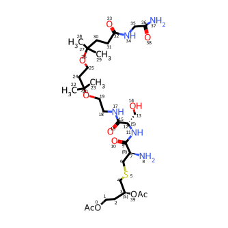 CC(=O)OCC[C@@H](CSC[C@H](N)C(=O)N[C@@H](CO)C(=O)NCCOC(C)(C)CCOC(C)(C)CCC(=O)NCC(N)=O)OC(C)=O